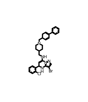 Clc1ccccc1C1C=C(NCC2CCN(CC3C=CC(c4ccccc4)=CC3)CC2)n2ncc(Br)c2N1